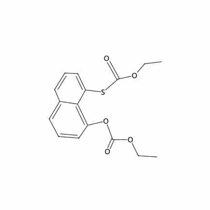 CCOC(=O)Oc1cccc2cccc(SC(=O)OCC)c12